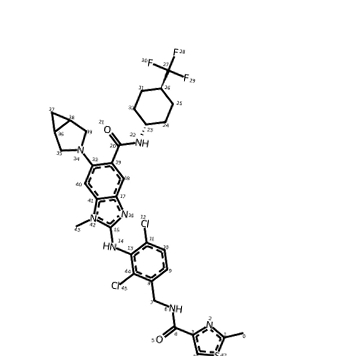 Cc1nc(C(=O)NCc2ccc(Cl)c(Nc3nc4cc(C(=O)N[C@H]5CC[C@H](C(F)(F)F)CC5)c(N5CC6CC6C5)cc4n3C)c2Cl)cs1